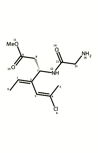 C/C=C(\C=C(/C)Cl)[C@H](CC(=O)OC)NC(=O)CN